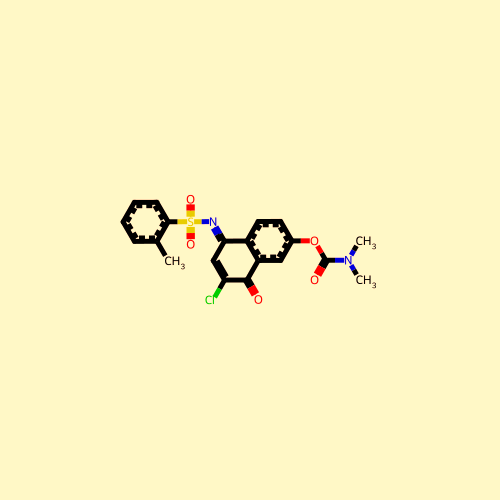 Cc1ccccc1S(=O)(=O)N=C1C=C(Cl)C(=O)c2cc(OC(=O)N(C)C)ccc21